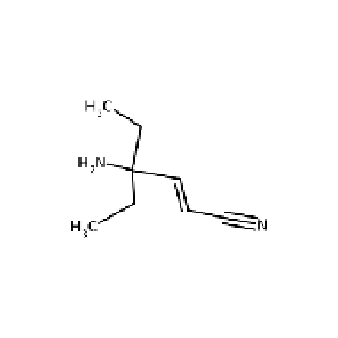 CCC(N)(C=CC#N)CC